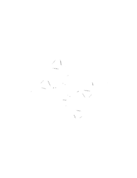 COC(=O)c1cccc([C@H]2CCCN(C(=O)[C@H]3COc4ccccc4O3)C2)c1.OCc1cccc([C@H]2CCCN(C[C@H]3COc4ccccc4O3)C2)c1